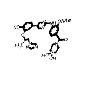 COc1cc(C(=O)N2CCS(O)(O)CC2)ccc1Nc1ncc(-c2ccc(C#N)c(O[C@@H](C)Cn3cncn3)c2)cn1